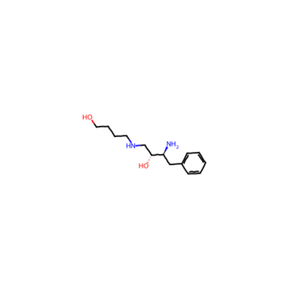 N[C@@H](Cc1ccccc1)[C@H](O)CNCCCCO